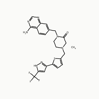 C.Nc1ncnc2cc(CN3CCN(Cc4ccc(-c5cc(C(F)(F)F)[nH]n5)s4)CC3=O)ccc12